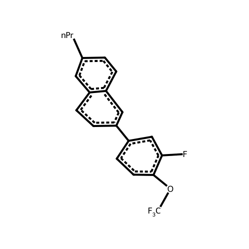 CCCc1ccc2cc(-c3ccc(OC(F)(F)F)c(F)c3)ccc2c1